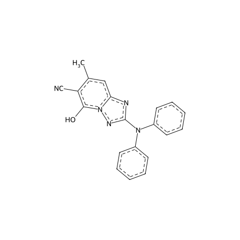 Cc1cc2nc(N(c3ccccc3)c3ccccc3)nn2c(O)c1C#N